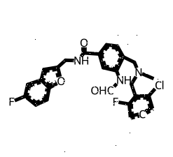 CN(Cc1ccc(C(=O)NCc2cc3cc(F)ccc3o2)cc1NC=O)Cc1c(F)cccc1Cl